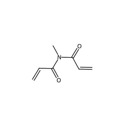 C=CC(=O)N(C)C(=O)C=C